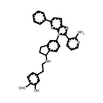 Nc1ncccc1-c1nc2ccc(-c3ccccc3)nc2n1-c1ccc2c(c1)CCC2NCCc1ccc(C=O)c(O)c1